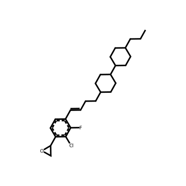 CCCC1CCC(C2CCC(CC/C=C/c3ccc(C4CO4)c(Cl)c3F)CC2)CC1